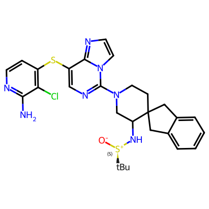 CC(C)(C)[S@@+]([O-])NC1CN(c2ncc(Sc3ccnc(N)c3Cl)c3nccn23)CCC12Cc1ccccc1C2